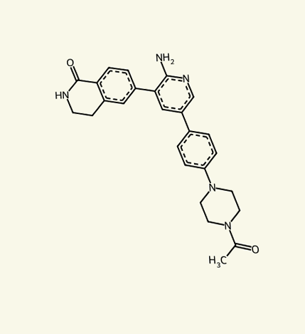 CC(=O)N1CCN(c2ccc(-c3cnc(N)c(-c4ccc5c(c4)CCNC5=O)c3)cc2)CC1